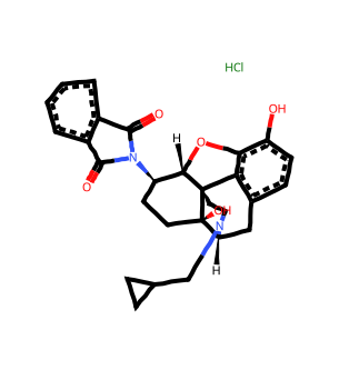 Cl.O=C1c2ccccc2C(=O)N1[C@@H]1CC[C@@]2(O)[C@H]3Cc4ccc(O)c5c4[C@@]2(CCN3CC2CC2)[C@H]1O5